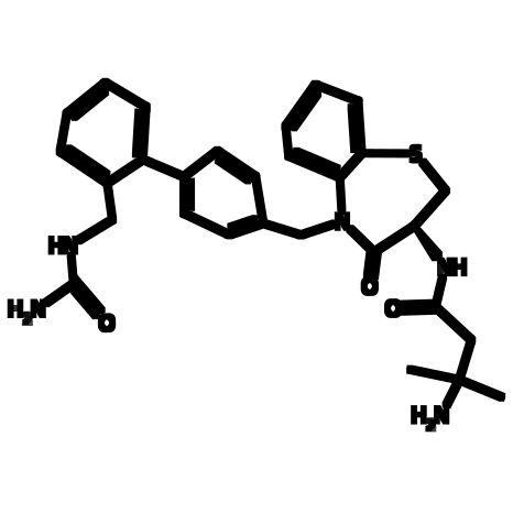 CC(C)(N)CC(=O)N[C@@H]1CSc2ccccc2N(Cc2ccc(-c3ccccc3CNC(N)=O)cc2)C1=O